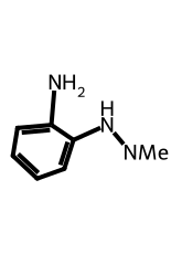 CNNc1ccccc1N